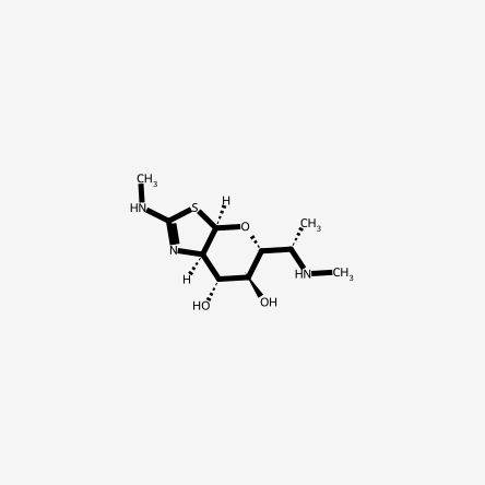 CNC1=N[C@@H]2[C@@H](O)[C@H](O)[C@@H]([C@H](C)NC)O[C@@H]2S1